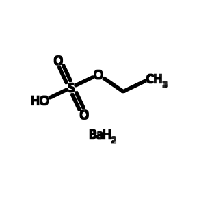 CCOS(=O)(=O)O.[BaH2]